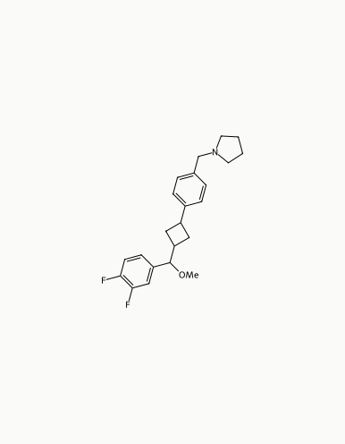 COC(c1ccc(F)c(F)c1)C1CC(c2ccc(CN3CCCC3)cc2)C1